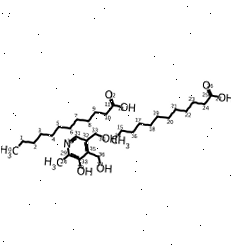 CCCCCCCCCCCC(=O)O.CCCCCCCCCCCC(=O)O.Cc1ncc(CO)c(CO)c1O